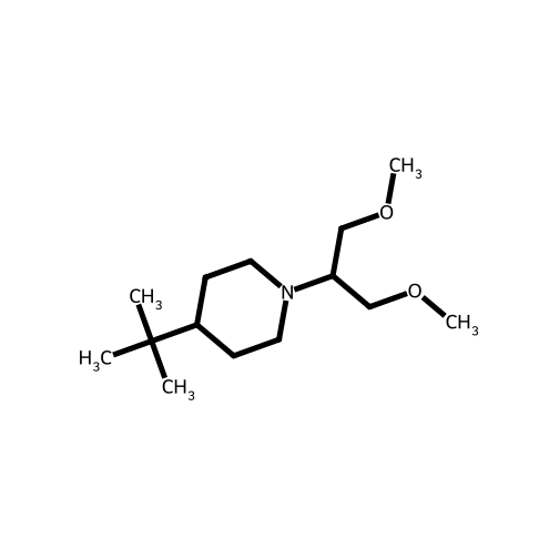 COCC(COC)N1CCC(C(C)(C)C)CC1